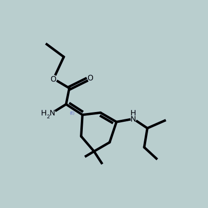 CCOC(=O)/C(N)=C1\C=C(NC(C)CC)CC(C)(C)C1